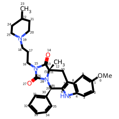 COc1ccc2[nH]c3c(c2c1)C[C@@]1(C)C(=O)N(CCCN2CCC(C)CC2)C(=O)N1[C@@H]3c1ccccc1